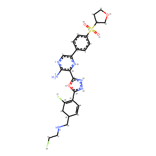 Nc1ncc(-c2ccc(S(=O)(=O)C3CCOC3)cc2)nc1-c1nnc(C2=C(F)CC(CNCCF)C=C2)o1